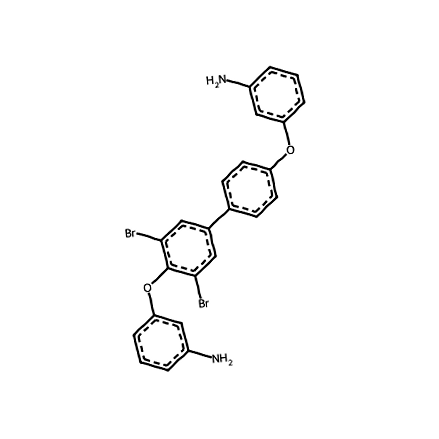 Nc1cccc(Oc2ccc(-c3cc(Br)c(Oc4cccc(N)c4)c(Br)c3)cc2)c1